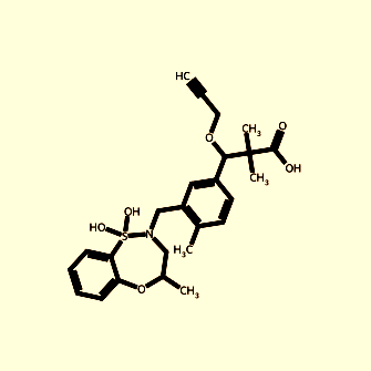 C#CCOC(c1ccc(C)c(CN2CC(C)Oc3ccccc3S2(O)O)c1)C(C)(C)C(=O)O